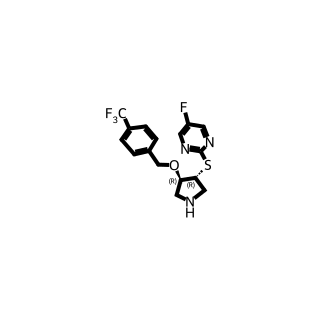 Fc1cnc(S[C@@H]2CNC[C@H]2OCc2ccc(C(F)(F)F)cc2)nc1